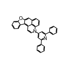 C1=CN(c2cc(-c3ccccc3)nc(-c3ccccc3)c2)c2cccc3cc4oc5ccccc5c4c1c23